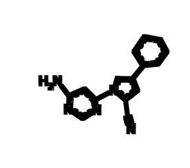 N#Cc1cc(-c2ccccc2)cn1-c1cc(N)ncn1